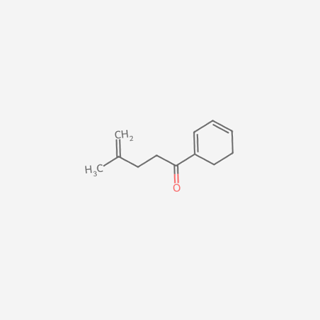 C=C(C)CCC(=O)C1=CC=CCC1